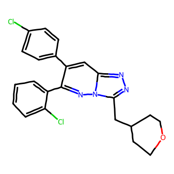 Clc1ccc(-c2cc3nnc(CC4CCOCC4)n3nc2-c2ccccc2Cl)cc1